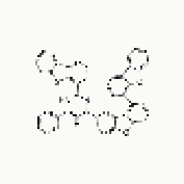 c1ccc(C2NC(c3ccc4oc5cccc(-c6cccc7c6oc6ccccc67)c5c4c3)=NC(c3cccc4c3sc3ccccc34)N2)cc1